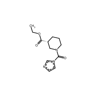 CCOC(=O)[C@@H]1CCCN(C(=O)n2ccnc2)C1